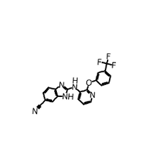 N#Cc1ccc2nc(Nc3cccnc3Oc3cccc(C(F)(F)F)c3)[nH]c2c1